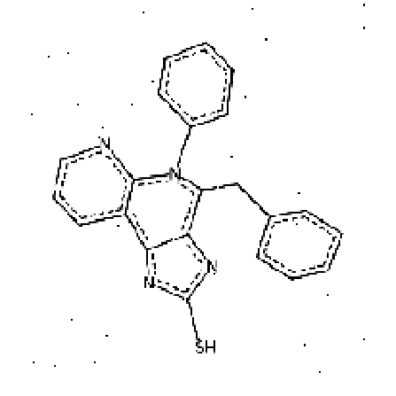 Sc1nc2c(Cc3ccccc3)n(-c3ccccc3)c3ncccc3c-2n1